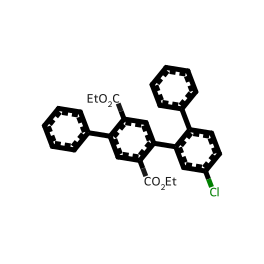 CCOC(=O)c1cc(-c2cc(Cl)ccc2-c2ccccc2)c(C(=O)OCC)cc1-c1ccccc1